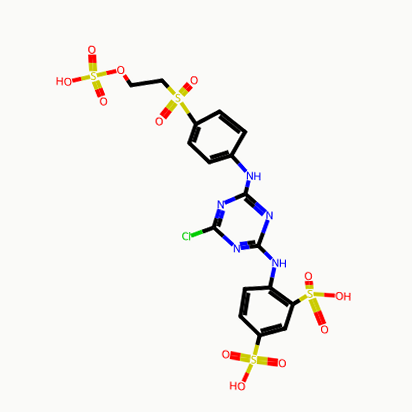 O=S(=O)(O)OCCS(=O)(=O)c1ccc(Nc2nc(Cl)nc(Nc3ccc(S(=O)(=O)O)cc3S(=O)(=O)O)n2)cc1